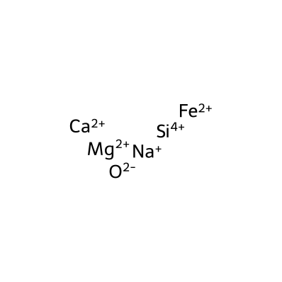 [Ca+2].[Fe+2].[Mg+2].[Na+].[O-2].[Si+4]